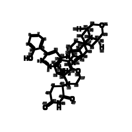 Nc1nnc(-c2ccccc2O)cc1-n1cc(N2C[C@@H]3COC[C@@H](C2)N3C2CCC(c3cccc4c3OCCN4C3CCC(=O)NC3=O)CC2)cn1